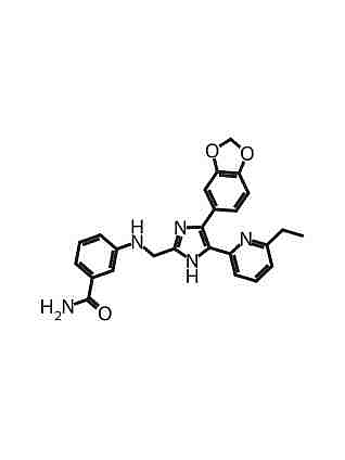 CCc1cccc(-c2[nH]c(CNc3cccc(C(N)=O)c3)nc2-c2ccc3c(c2)OCO3)n1